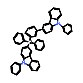 c1ccc(-n2c3ccccc3c3cc(-c4cccc([Si](c5ccccc5)(c5ccccc5)c5ccc6c(c5)c5ccccc5n6-c5ccccc5)c4)ccc32)cc1